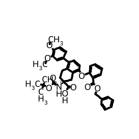 COc1ccc(-c2ccc(Oc3ccccc3C(=O)OCc3ccccc3)c3c2CC[C@@](NC(=O)OC(C)(C)C)(C(=O)O)C3)cc1OC